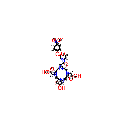 CCN(CC(=O)Oc1ccc([N+](=O)[O-])cc1)C(=O)CN1CCN(CC(=O)O)CCN(CC(=O)O)CCN(CC(=O)O)CC1